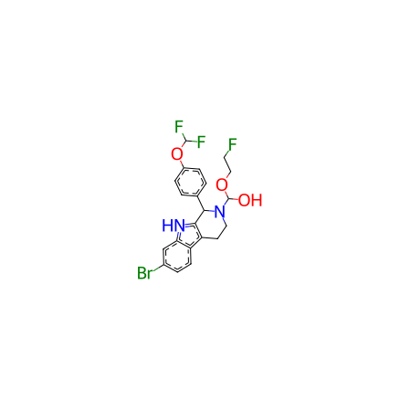 OC(OCCF)N1CCc2c([nH]c3cc(Br)ccc23)C1c1ccc(OC(F)F)cc1